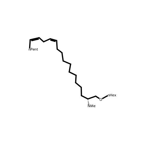 CCCCC/C=C\C/C=C\CCCCCCCCC[C@H](COCCCCCC)NC